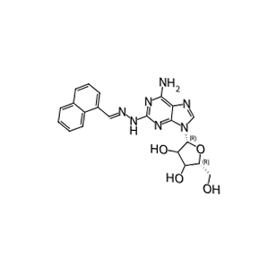 Nc1nc(NN=Cc2cccc3ccccc23)nc2c1ncn2[C@@H]1O[C@H](CO)C(O)C1O